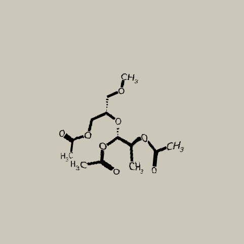 COC[C@@H](COC(C)=O)O[C@@H](OC(C)=O)C(C)OC(C)=O